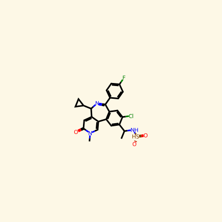 CC(N[SH](=O)=O)c1cc2c(cc1Cl)C(c1ccc(F)cc1)=NC(C1CC1)c1cc(=O)n(C)cc1-2